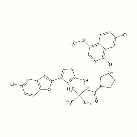 COc1cnc(O[C@@H]2CCN(C(=O)[C@@H](Nc3nc(-c4cc5cc(Cl)ccc5o4)cs3)C(C)(C)C)C2)c2cc(Cl)ccc12